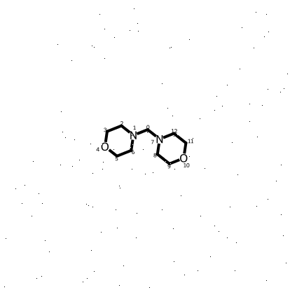 [CH](N1CCOCC1)N1CCOCC1